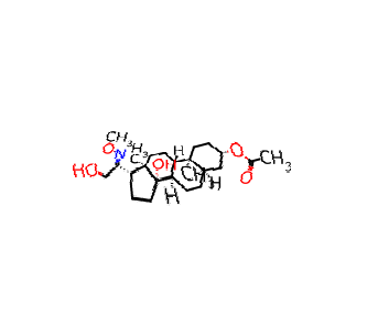 CON=C(CO)[C@H]1CC[C@]2(O)[C@@H]3CC[C@@H]4C[C@@H](OC(C)=O)CC[C@]4(C)[C@H]3CC[C@]12C